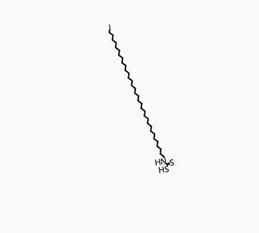 S=C(S)NCCCCCCCCCCCCCCCCCCCCCCCCCCCCCCCCCCI